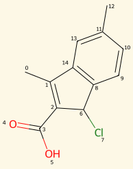 CC1=C(C(=O)O)C(Cl)c2ccc(C)cc21